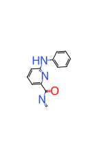 C=NC(=O)c1cccc(Nc2ccccc2)n1